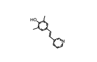 Cc1cc(/C=C/c2cccnc2)cc(C)c1O